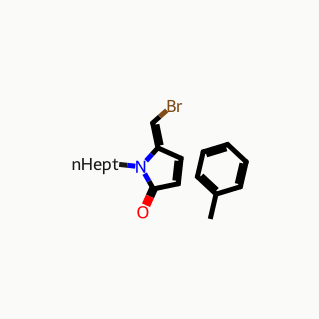 CCCCCCCN1C(=O)C=CC1=CBr.Cc1ccccc1